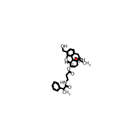 C[C@H](C(=O)NCCC(=O)OC1=CC[C@@]2(O)[C@H]3Cc4ccc(CO)c5c4[C@@]2(CCN3C)[C@H]1O5)c1ccccc1